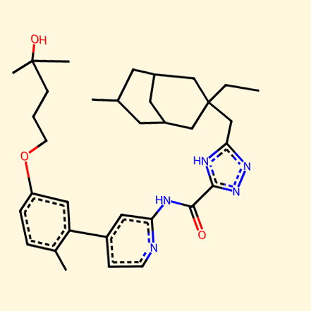 CCC1(Cc2nnc(C(=O)Nc3cc(-c4cc(OCCCC(C)(C)O)ccc4C)ccn3)[nH]2)CC2CC(C)CC(C2)C1